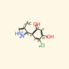 CC(=O)c1c[nH]nc1-c1cc(Cl)c(O)cc1O